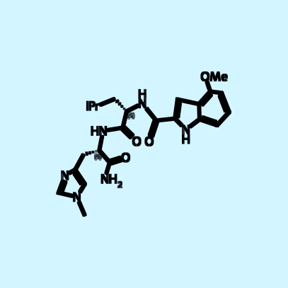 COc1cccc2[nH]c(C(=O)N[C@@H](CC(C)C)C(=O)N[C@@H](Cc3cn(C)cn3)C(N)=O)cc12